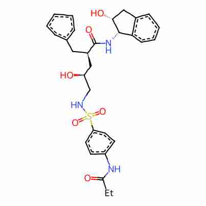 CCC(=O)Nc1ccc(S(=O)(=O)NC[C@@H](O)C[C@@H](Cc2ccccc2)C(=O)N[C@H]2c3ccccc3C[C@H]2O)cc1